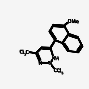 COc1ccc(C2=CC(C(Cl)(Cl)Cl)=NN(C(Cl)(Cl)Cl)N2)c2ccccc12